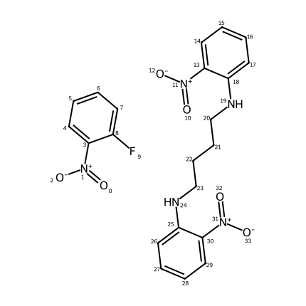 O=[N+]([O-])c1ccccc1F.O=[N+]([O-])c1ccccc1NCCCCNc1ccccc1[N+](=O)[O-]